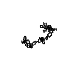 Cn1c(=O)n(C2CCC(=O)NC2=O)c2ccc(C3CCN(C(=O)NCCOc4ccc5cc(O)c(N6CC(=O)NS6(=O)=O)c(F)c5c4)CC3)cc21